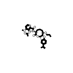 C=C(C)c1ccc(O[C@H]2[C@H](C)OC(=O)[C@@H](NC(=O)c3nccc(OC)c3OC(C)=O)CCC[C@@H]2OCCC)cc1